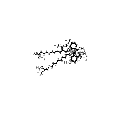 CC(C)=C(CCCCCCCCC(C)C)CO[PH](OCCCCCCCCCCC(C)C)(Oc1cc(C)ccc1C(C)(C)C)c1cc(C)ccc1C(C)(C)C